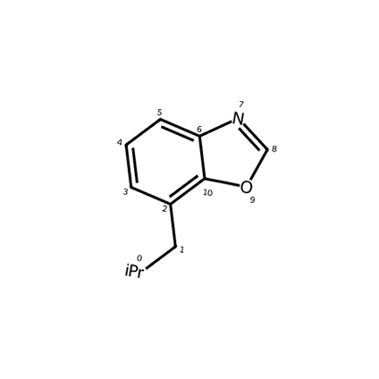 CC(C)Cc1cccc2ncoc12